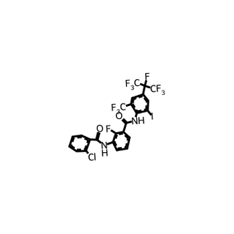 O=C(Nc1cccc(C(=O)Nc2c(I)cc(C(F)(C(F)(F)F)C(F)(F)F)cc2C(F)(F)F)c1F)c1ccccc1Cl